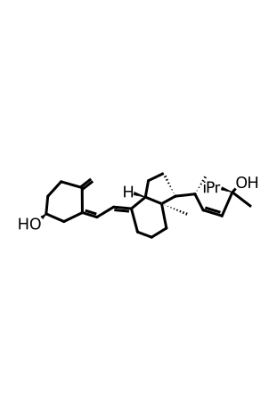 C=C1CC[C@H](O)C/C1=C/C=C1\CCC[C@]2(C)[C@@H]([C@H](C)/C=C\[C@@](C)(O)C(C)C)CC[C@@H]12